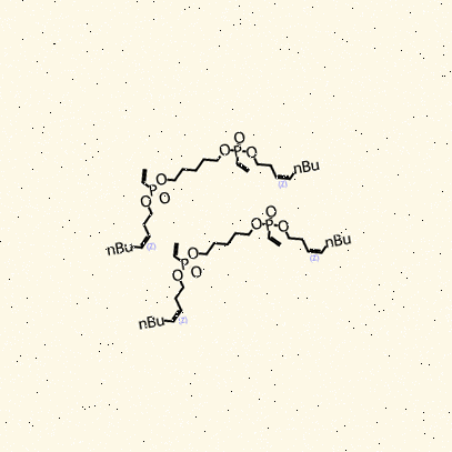 C=CP(=O)(OCC/C=C\CCCC)OCCCCCOP(=O)(C=C)OCC/C=C\CCCC.C=CP(=O)(OCC/C=C\CCCC)OCCCCCOP(=O)(C=C)OCC/C=C\CCCC